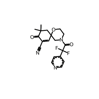 CC1(C)CC2(C=C(C#N)C1=O)CN(C(=O)C(F)(F)c1ccncc1)CCO2